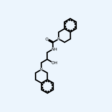 O=C(NCC(O)CN1CCc2ccccc2C1)N1CCc2ccccc2C1